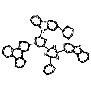 c1ccc(-c2ccc3c4ccccc4n(-c4cc(-c5ccc6c7ccccc7c7ccccc7c6c5)cc(-c5nc(-c6ccccc6)nc(-c6ccc7sc8ccccc8c7c6)n5)c4)c3c2)cc1